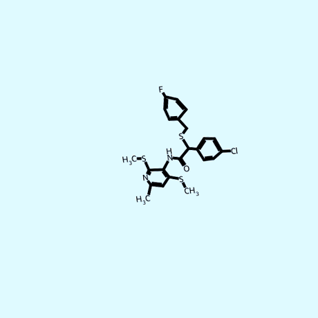 CSc1cc(C)nc(SC)c1NC(=O)C(SCc1ccc(F)cc1)c1ccc(Cl)cc1